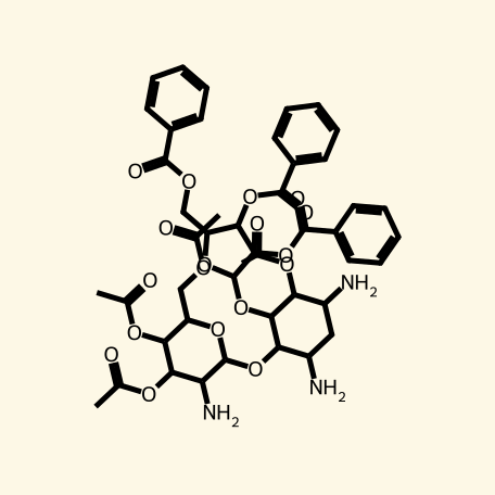 CC(=O)OCC1OC(OC2C(N)CC(N)C(OC(C)=O)C2OC2OC(COC(=O)c3ccccc3)C(OC(=O)c3ccccc3)C2OC(=O)c2ccccc2)C(N)C(OC(C)=O)C1OC(C)=O